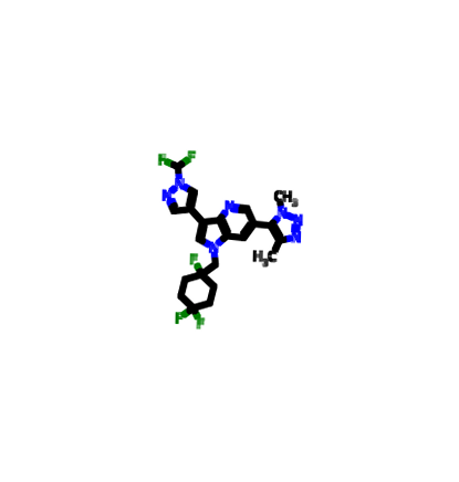 Cc1nnn(C)c1-c1cnc2c(-c3cnn(C(F)F)c3)cn(CC3(F)CCC(F)(F)CC3)c2c1